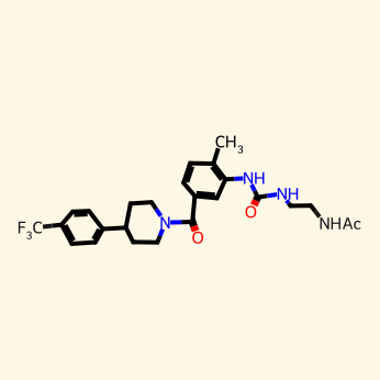 CC(=O)NCCNC(=O)Nc1cc(C(=O)N2CCC(c3ccc(C(F)(F)F)cc3)CC2)ccc1C